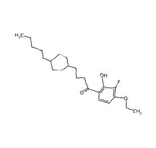 CCCCCC1CCC(CCCC(=O)c2ccc(OCC)c(F)c2O)CC1